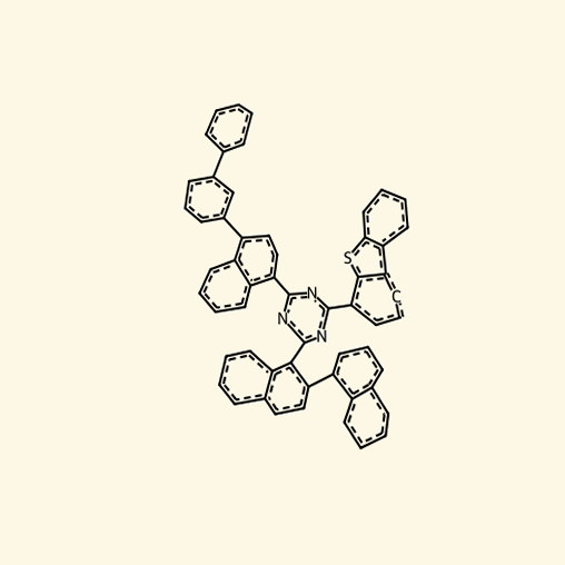 c1ccc(-c2cccc(-c3ccc(-c4nc(-c5c(-c6cccc7ccccc67)ccc6ccccc56)nc(-c5cccc6c5sc5ccccc56)n4)c4ccccc34)c2)cc1